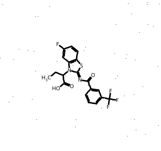 CCC(C(=O)O)n1/c(=N/C(=O)c2cccc(C(F)(F)F)c2)sc2ccc(F)cc21